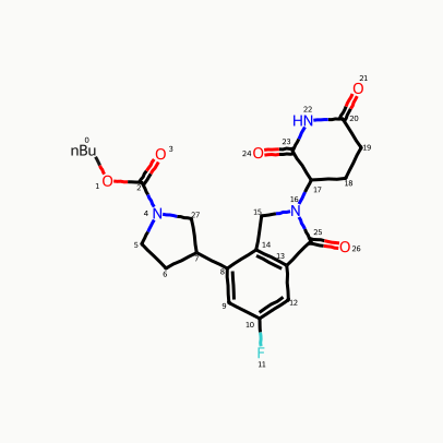 CCCCOC(=O)N1CCC(c2cc(F)cc3c2CN(C2CCC(=O)NC2=O)C3=O)C1